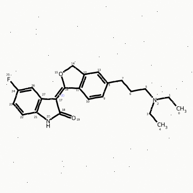 CCN(CC)CCCc1ccc2c(c1)CO/C2=C1/C(=O)Nc2ccc(F)cc21